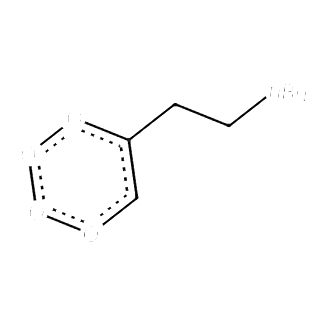 CCCCCCc1coooo1